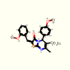 CCOC(=O)C1=C(C)N=c2sc(=Cc3ccccc3OCC)c(=O)n2C1c1ccc(OCC)cc1